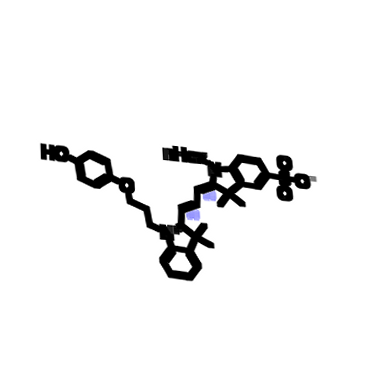 CCCCCCN1/C(=C/C=C/C2=[N+](CCCOc3ccc(O)cc3)c3ccccc3C2(C)C)C(C)(C)c2cc(S(=O)(=O)[O-])ccc21